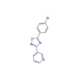 Brc1ccc(-c2nc(-c3cccnc3)no2)cc1